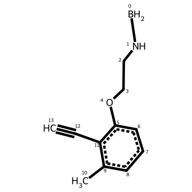 BNCCOc1cccc(C)c1C#C